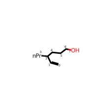 C=CC(CCC)CCCO